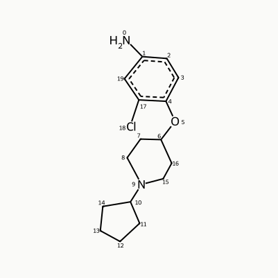 Nc1ccc(OC2CCN(C3CCCC3)CC2)c(Cl)c1